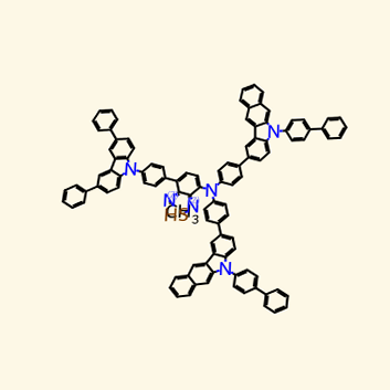 C/N=C1/C(c2ccc(-n3c4ccc(-c5ccccc5)cc4c4cc(-c5ccccc5)ccc43)cc2)=CC=C(N(c2ccc(-c3ccc4c(c3)c3cc5ccccc5cc3n4-c3ccc(-c4ccccc4)cc3)cc2)c2ccc(-c3ccc4c(c3)c3cc5ccccc5cc3n4-c3ccc(-c4ccccc4)cc3)cc2)/C1=N/S